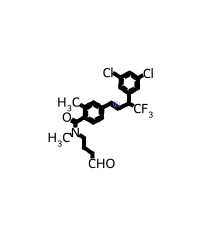 Cc1cc(/C=C/C(c2cc(Cl)cc(Cl)c2)C(F)(F)F)ccc1C(=O)N(C)CCCC=O